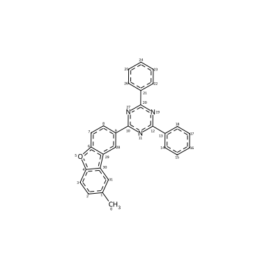 Cc1ccc2oc3ccc(-c4nc(-c5ccccc5)nc(-c5ccccc5)n4)cc3c2c1